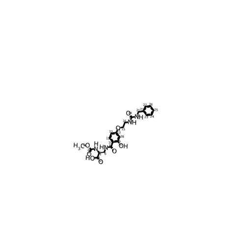 COC(=O)N[C@@H](CNC(=O)c1ccc(OCCNC(=O)NCc2ccccc2)cc1O)C(=O)O